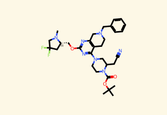 CN1CC(F)(F)C[C@H]1COc1nc2c(c(N3CCN(C(=O)OC(C)(C)C)C(CC#N)C3)n1)CCN(Cc1ccccc1)C2